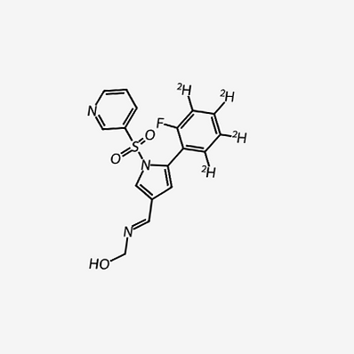 [2H]c1c([2H])c([2H])c(-c2cc(C=NCO)cn2S(=O)(=O)c2cccnc2)c(F)c1[2H]